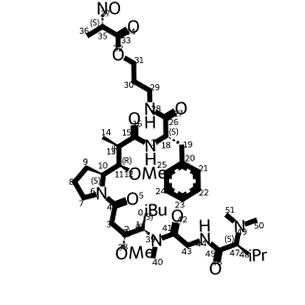 CC[C@H](C)[C@@H]([C@@H](CC(=O)N1CCC[C@H]1[C@H](OC)[C@@H](C)C(=O)N[C@@H](Cc1ccccc1)C(=O)NCCCOC(=O)[C@H](C)N=O)OC)N(C)C(=O)CNC(=O)[C@H](C(C)C)N(C)C